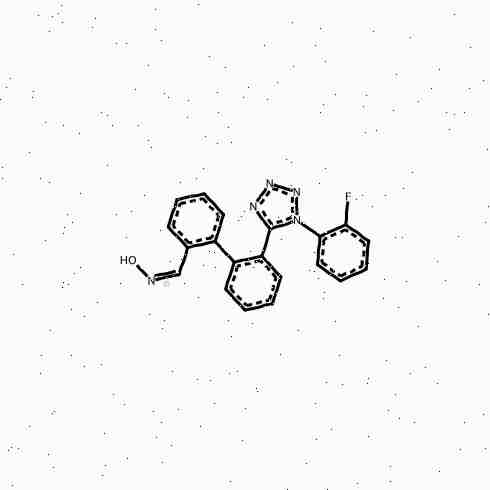 O/N=C\c1ccccc1-c1ccccc1-c1nnnn1-c1ccccc1F